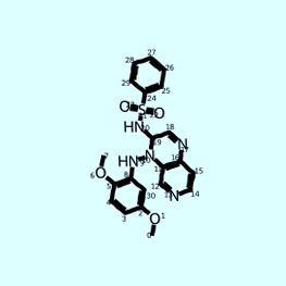 COc1ccc(OC)c(NN2c3cnccc3N=CC2NS(=O)(=O)c2ccccc2)c1